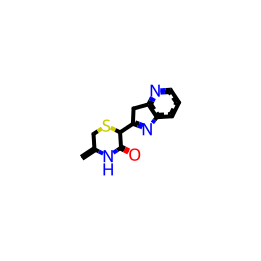 C=C1CSC(C2=Nc3cccnc3C2)C(=O)N1